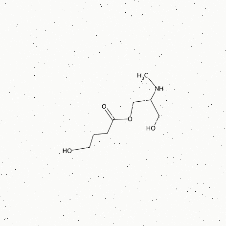 CNC(CO)COC(=O)CCCO